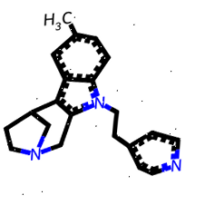 Cc1ccc2c(c1)c1c(n2CCc2ccncc2)CN2CCC1C2